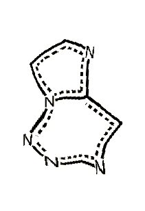 c1cn2nnncc2n1